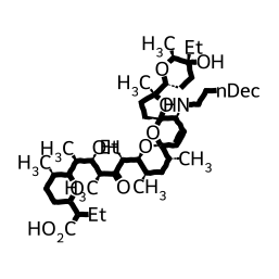 CCCCCCCCCCCCN[C@@H]1C=C[C@]2(O[C@H]([C@@H](CC)C(=O)[C@@H](C)[C@@H](O)[C@H](C)C3OC(C(CC)C(=O)O)CC[C@@H]3C)[C@@H](C)C[C@H]2C)O[C@@]12CC[C@@](C)([C@H]1CC[C@](O)(CC)[C@H](C)O1)O2